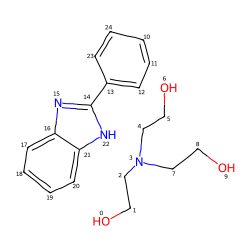 OCCN(CCO)CCO.c1ccc(-c2nc3ccccc3[nH]2)cc1